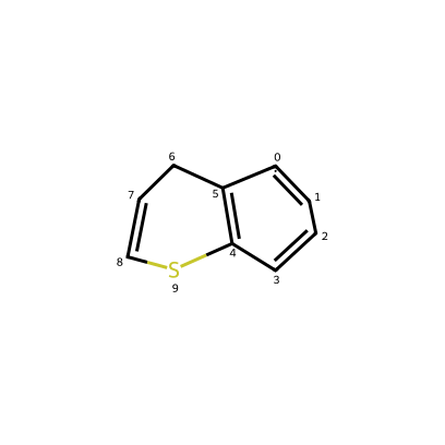 [c]1cccc2c1CC=CS2